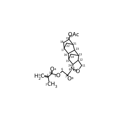 C=C(C)C(=O)OCC(=O)N1OCC2C3CC(C4C5CC(OC(C)=O)C(C5)C34)C21